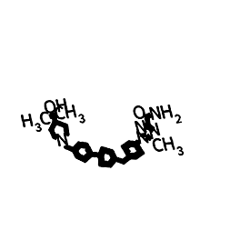 Cc1nc(C(N)=O)nn1-c1ccc(Cc2ccc(-c3ccc(CN4CCC(C(C)(C)O)CC4)cc3)cc2)cc1